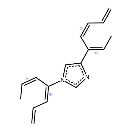 C=C/C=C\C(=C/C)c1cn(C(/C=C\C)=C/C=C)cn1